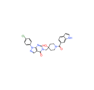 O=C(c1ccc2cc[nH]c2c1)N1CCC(O)(Cn2cnc3c(cnn3-c3ccc(Cl)cc3)c2=O)CC1